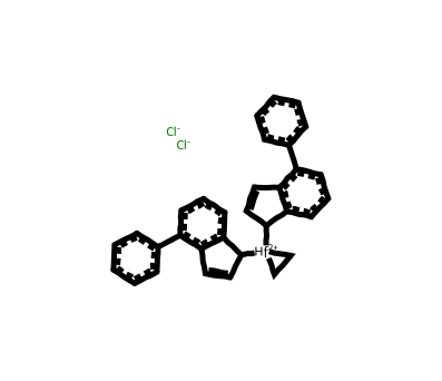 C1=C[CH]([Hf+2]2([CH]3C=Cc4c(-c5ccccc5)cccc43)[CH2][CH2]2)c2cccc(-c3ccccc3)c21.[Cl-].[Cl-]